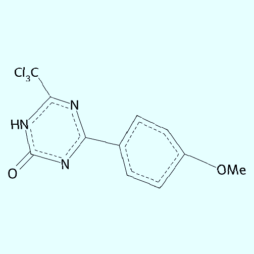 COc1ccc(-c2nc(C(Cl)(Cl)Cl)[nH]c(=O)n2)cc1